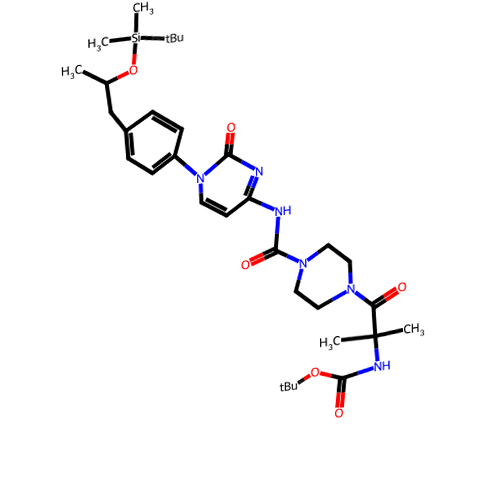 CC(Cc1ccc(-n2ccc(NC(=O)N3CCN(C(=O)C(C)(C)NC(=O)OC(C)(C)C)CC3)nc2=O)cc1)O[Si](C)(C)C(C)(C)C